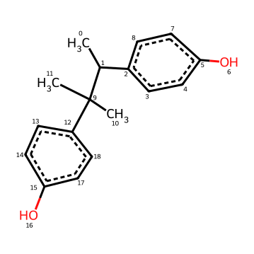 CC(c1ccc(O)cc1)C(C)(C)c1ccc(O)cc1